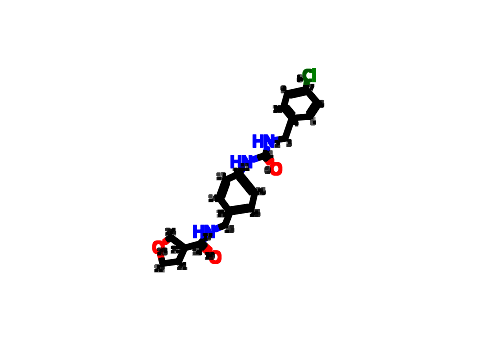 O=C(NCc1ccc(Cl)cc1)Nc1ccc(CNC(=O)C2CCOC2)cc1